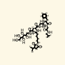 CC(C)CNC(=O)CNC(=O)[C@H](Cc1ccccc1)NC(=O)CNC(=O)[C@H](CCC(=O)NC[C@H](O)[C@@H](O)[C@H](O)[C@H](O)CO)NC(=O)CCCCCN1C(=O)CC(C(C)C)C1=O